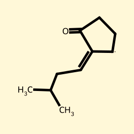 CC(C)C/C=C1/[CH]CCC1=O